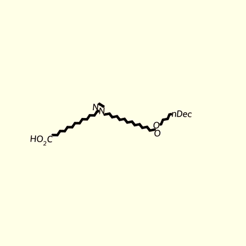 CCCCCCCCCCCCCCOC(=O)CCCCCCCCCCCCCN1CCN=C1CCCCCCCCCCCCC(=O)O